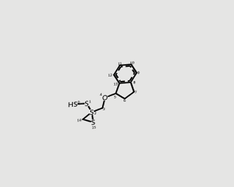 SSS1(COC2CCc3ccccc32)CS1